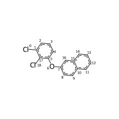 Clc1cccc(Oc2ccc3c[c]ccc3c2)c1Cl